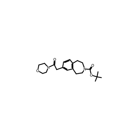 CC(C)(C)OC(=O)N1CCc2ccc(CC(=O)N3CCOCC3)cc2CC1